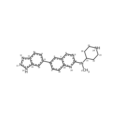 CN(c1ncc2cc(-c3ccc4nn[nH]c4c3)ccc2n1)C1CCNCC1